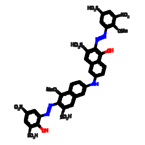 COc1c(N=Nc2c(S(=O)(=O)O)cc3cc(Nc4ccc5c(OC)c(N=Nc6cc([N+](=O)[O-])cc(S(=O)(=O)O)c6O)c(S(=O)(=O)O)cc5c4)ccc3c2O)cc(S(=O)(=O)O)cc1[N+](=O)[O-]